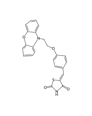 O=C1NC(=O)C(=Cc2ccc(OCCN3c4ccccc4Oc4ccccc43)cc2)S1